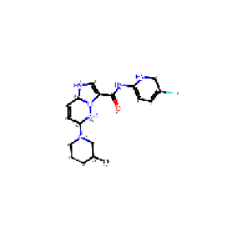 O=C(NC1=CC=C(F)CN1)C1=CNC2C=CC(N3CCCC(C(F)(F)F)C3)NN12